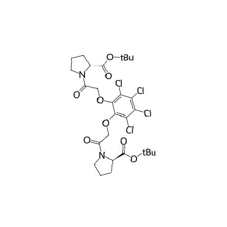 CC(C)(C)OC(=O)[C@H]1CCCN1C(=O)COc1c(Cl)c(Cl)c(Cl)c(Cl)c1OCC(=O)N1CCC[C@@H]1C(=O)OC(C)(C)C